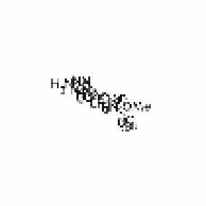 COC(=O)C(CCC(=O)OC(C)(C)C)NC(=O)c1ccc(N(Cc2cnc3nc(N)[nH]c(=O)c3n2)C(=O)C(F)(F)F)cc1